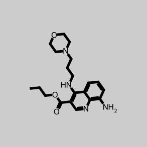 CCCOC(=O)c1cnc2c(N)cccc2c1NCCCN1CCOCC1